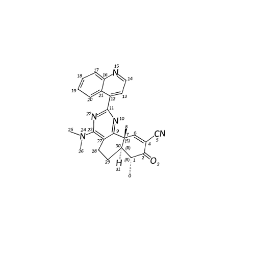 C[C@H]1C(=O)C(C#N)=C[C@@]2(C)c3nc(-c4ccnc5ccccc45)nc(N(C)C)c3CC[C@H]12